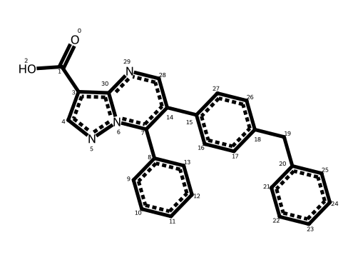 O=C(O)c1cnn2c(-c3ccccc3)c(-c3ccc(Cc4ccccc4)cc3)cnc12